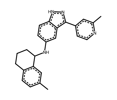 Cc1ccc2c(c1)C(Nc1ccc3[nH]nc(-c4ccnc(C)c4)c3c1)CCC2